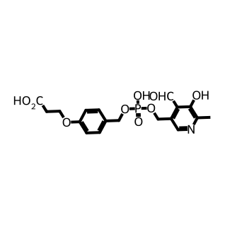 Cc1ncc(COP(=O)(O)OCc2ccc(OCCC(=O)O)cc2)c(C=O)c1O